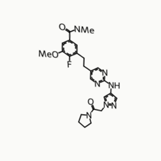 CNC(=O)c1cc(CCc2cnc(Nc3cnn(CC(=O)N4CCCC4)c3)nc2)c(F)c(OC)c1